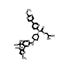 COc1ncc(-c2ccc(N(C(=O)OCC(O)O)[C@H]3CC[C@H](Nc4ncc(C(O)(O)O)c(-c5nn(C)cc5O)n4)CC3)nc2)cn1